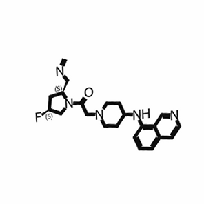 C=NC[C@@H]1C[C@H](F)CN1C(=O)CN1CCC(Nc2cccc3ccncc23)CC1